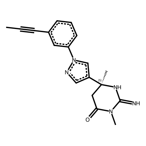 CC#Cc1cccc(-n2cc([C@]3(C)CC(=O)N(C)C(=N)N3)cn2)c1